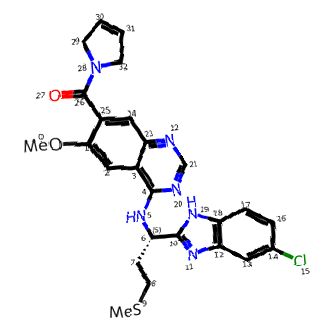 COc1cc2c(N[C@@H](CCSC)c3nc4cc(Cl)ccc4[nH]3)ncnc2cc1C(=O)N1CC=CC1